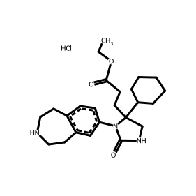 CCOC(=O)CCC1(C2CCCCC2)CNC(=O)N1c1ccc2c(c1)CCNCC2.Cl